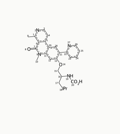 Cc1nccc2c1c(=O)n(C)c1cc(OCC(CC(C)C)NC(=O)O)c(-c3ccccn3)cc21